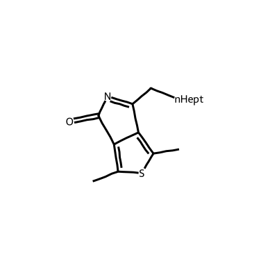 CCCCCCCCC1=NC(=O)c2c(C)sc(C)c21